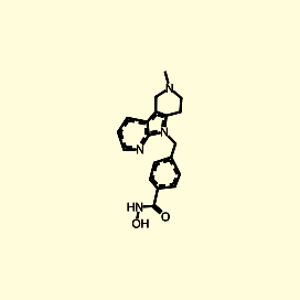 CN1CCc2c(c3cccnc3n2Cc2ccc(C(=O)NO)cc2)C1